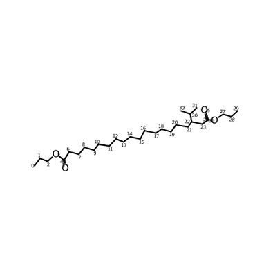 CCCOC(=O)CCCCCCCCCCCCCCCCC(CC(=O)OCCC)C(C)C